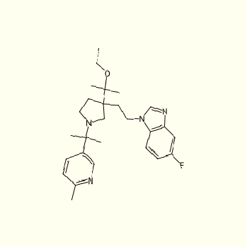 CCOC(C)(C)C1(CCn2cnc3cc(F)ccc32)CCN(C(C)(C)c2ccc(C)nc2)C1